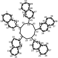 c1ccc2nc(C3CC(c4ccc5ccccc5n4)CC(c4ccc5ccccc5n4)CC(c4ccc5ccccc5n4)CC(c4ccc5ccccc5n4)C3)ccc2c1